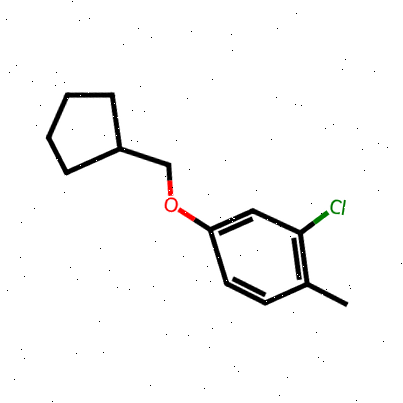 Cc1ccc(OCC2CCCC2)cc1Cl